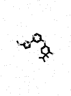 COc1ccn(-c2cc(OC3=CCC(C)(C(C)C)C(F)=C3)ccn2)n1